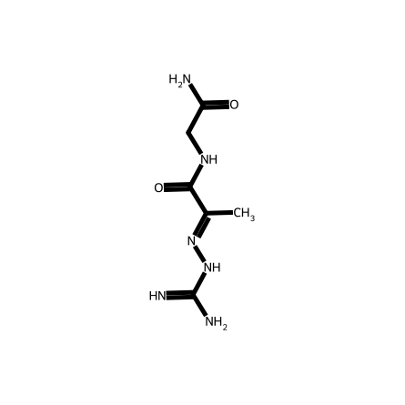 C/C(=N\NC(=N)N)C(=O)NCC(N)=O